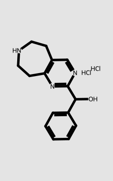 Cl.Cl.OC(c1ccccc1)c1ncc2c(n1)CCNCC2